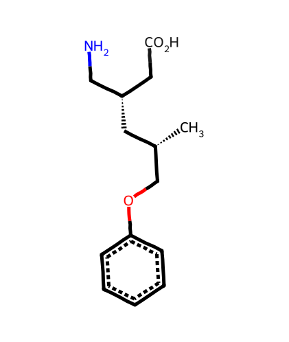 C[C@H](COc1ccccc1)C[C@H](CN)CC(=O)O